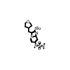 CN(C)S(=O)(=O)N(C)c1ccn2c(CC3CCOCC3)c(C(C)(C)C)nc2c1